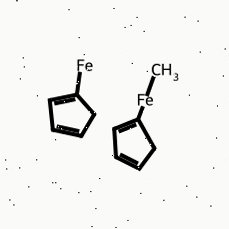 [CH3][Fe][C]1=CC=CC1.[Fe][C]1=CC=CC1